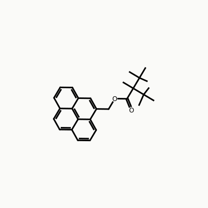 CC(C)(C)C(C)(C(=O)OCc1cc2cccc3ccc4cccc1c4c32)C(C)(C)C